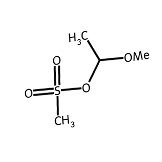 COC(C)OS(C)(=O)=O